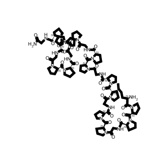 CCCC[C@H](N)C(=O)N1CCC[C@H]1C(=O)N1CCC[C@H]1C(=O)NCC(=O)N1CCC[C@H]1C(=O)N1CCC[C@H]1C(=O)NCC(=O)N1CCC[C@H]1C(=O)N1CCC[C@H]1C(=O)NCC(=O)N1CCC[C@H]1C(=O)N1CCC[C@H]1C(=O)NCC(=O)N1CCC[C@H]1C(=O)N1CCC[C@H]1C(=O)NCC(=O)N1CCC[C@H]1C(=O)N1CCC[C@H]1C(=O)NCC(=O)N1CCC[C@H]1C(=O)N1CCC[C@H]1C(=O)NCC(N)=O